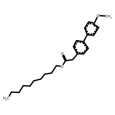 CCCCCCCCCCOC(=O)Cc1ccc(-c2ccc(OC)cc2)cc1